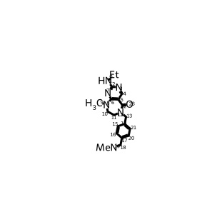 CCNc1ncc2c(n1)N(C)CCN(Cc1ccc(CNC)cc1)C2=O